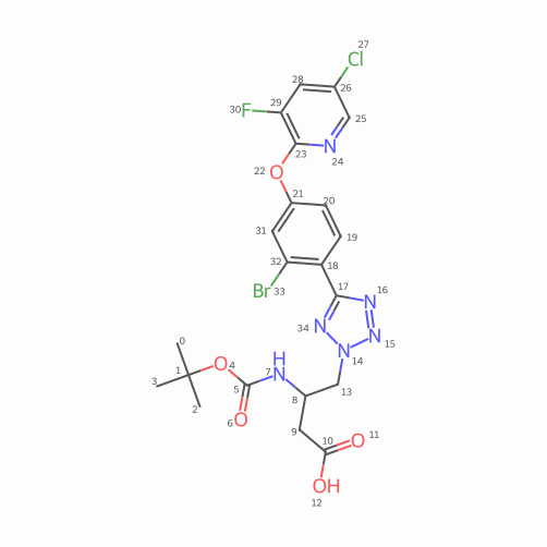 CC(C)(C)OC(=O)NC(CC(=O)O)Cn1nnc(-c2ccc(Oc3ncc(Cl)cc3F)cc2Br)n1